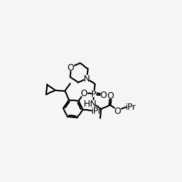 CC(C)OC(=O)C(C)NP(=O)(CN1CCOCC1)Oc1c(C(C)C)cccc1C(C)C1CC1